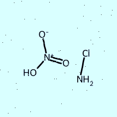 NCl.O=[N+]([O-])O